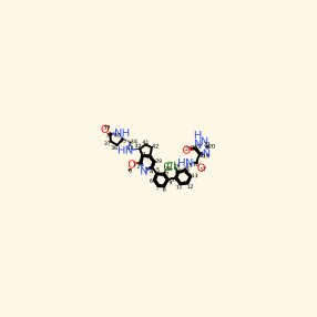 COc1nc(-c2cccc(-c3cccc(NC(=O)c4ncn[nH]c4=O)c3Cl)c2Cl)cc2c1[C@@H](NC[C@@H]1CCC(=O)N1)CC2